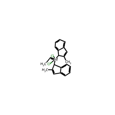 C[CH]=[Hf]([Cl])([Cl])([CH]1C(C)=Cc2ccccc21)[CH]1C(C)=Cc2ccccc21